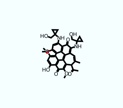 COc1c2c3c4c(c(NC5(CO)CC5)c(=O)c5c(NC6(CO)CC6)cc(OC)c(c6c(OC)cc(O)c(c1=O)c63)c54)C=C(C)C2C(C)=O